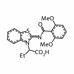 CCC(C(=O)O)n1c(=NC(=O)c2c(OC)cccc2OC)sc2ccccc21